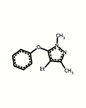 CCc1c(C)nn(C)c1Oc1ccccc1